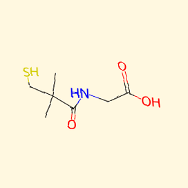 CC(C)(CS)C(=O)NCC(=O)O